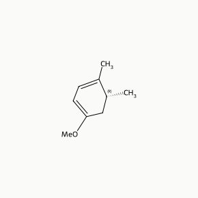 COC1=CC=C(C)[C@H](C)C1